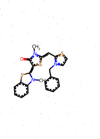 CN1/C(=c2\s/c(=C\c3scc[n+]3Cc3ccccc3)n(C)c2=O)Sc2ccccc21